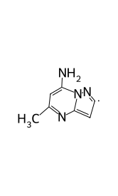 Cc1cc(N)n2n[c]cc2n1